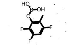 Cc1c(F)cc(F)c(F)c1OB(O)O